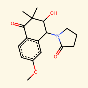 COc1ccc2c(c1)C(N1CCCC1=O)C(O)C(C)(C)C2=O